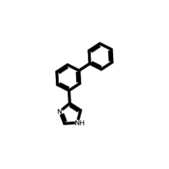 c1ccc(-c2cccc(-c3c[nH]cn3)c2)cc1